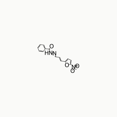 O=C(NN=CC=Cc1ccc([N+](=O)[O-])o1)c1ccccc1